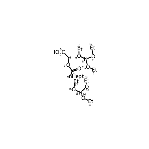 CCCCCCCC(=O)OCC(=O)O.CCON(OCC)OCC.CCON(OCC)OCC